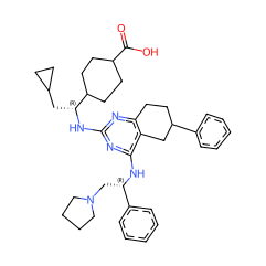 O=C(O)C1CCC([C@@H](CC2CC2)Nc2nc3c(c(N[C@@H](CN4CCCC4)c4ccccc4)n2)CC(c2ccccc2)CC3)CC1